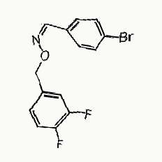 Fc1ccc(CO/N=[C]\c2ccc(Br)cc2)cc1F